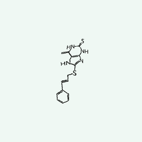 C=C1NC(=S)Nc2nc(SC/C=C/c3ccccc3)[nH]c21